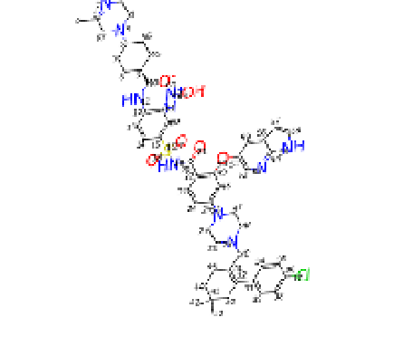 CC1=NCCN([C@H]2CC[C@H](CNc3ccc(S(=O)(=O)NC(=O)c4ccc(N5CCN(CC6=C(c7ccc(Cl)cc7)CC(C)(C)CC6)CC5)cc4Oc4cnc5[nH]ccc5c4)cc3[NH+]([O-])O)CC2)C1